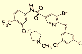 CN1CC[C@@H](Oc2cc(NS(=O)(=O)c3cnc(Sc4cc(Cl)cc(Cl)c4)c(Br)c3)ccc2C(F)(F)F)C1